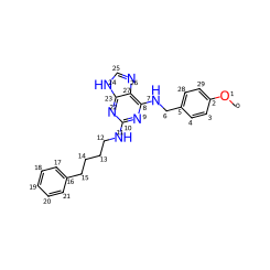 COc1ccc(CNc2nc(NCCCCc3ccccc3)nc3[nH]cnc23)cc1